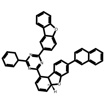 C1=CCC(c2nc(C3=CC=C[C@H]4Oc5cc(-c6ccc7ccccc7c6)ccc5C34)nc(-c3ccc4oc5ccccc5c4c3)n2)C=C1